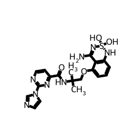 CC(C)(COc1cccc2c1C(N)=NS(O)(O)N2)NC(=O)c1ccnc(-n2ccnc2)n1